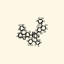 c1ccc(-c2ccccc2-c2nc(-c3ccc4c(-c5ccccc5)cccc4c3)nc(-c3ccc4c(c3)oc3cccc(-c5ccccc5)c34)n2)cc1